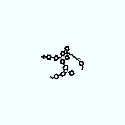 C=CC1=CCC(OCCCCCCC2(c3ccccc3)c3ccccc3-c3ccc(N(c4ccc(C5=CC6C7CC(C8=CCC(C=C)CC8)=CC=C7N(C7C=CC=CC7)C6C=C5)cc4)c4ccc(-c5ccc(C(C)(C)C)cc5)cc4)cc32)C=C1